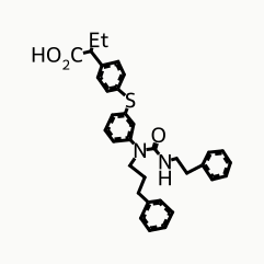 CCC(C(=O)O)c1ccc(Sc2cccc(N(CCCc3ccccc3)C(=O)NCCc3ccccc3)c2)cc1